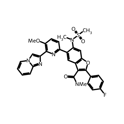 CNC(=O)c1c(-c2ccc(F)cc2)oc2cc(N(C)S(C)(=O)=O)c(-c3ccc(OC)c(-c4cn5ccccc5n4)n3)cc12